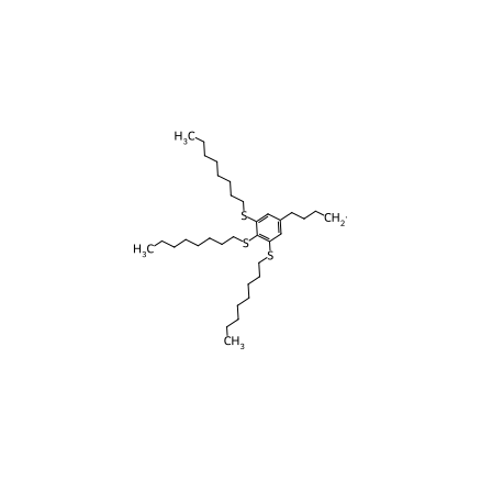 [CH2]CCCc1cc(SCCCCCCCC)c(SCCCCCCCC)c(SCCCCCCCC)c1